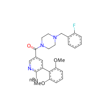 CCCCc1ncc(C(=O)N2CCN(Cc3ccccc3F)CC2)cc1-c1c(OC)cccc1OC